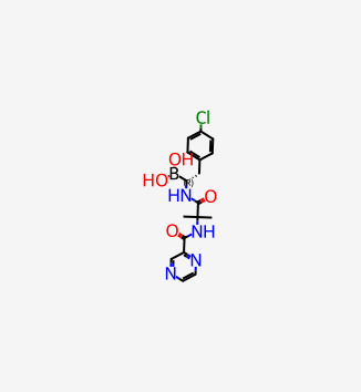 CC(C)(NC(=O)c1cnccn1)C(=O)N[C@@H](Cc1ccc(Cl)cc1)B(O)O